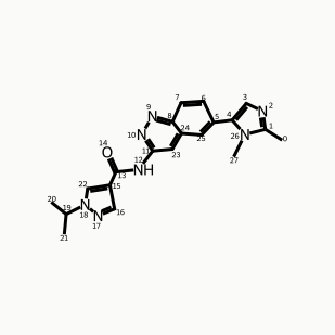 Cc1ncc(-c2ccc3nnc(NC(=O)c4cnn(C(C)C)c4)cc3c2)n1C